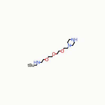 CC(C)(C)CNCCOCCOCCOCCN1CCNCC1